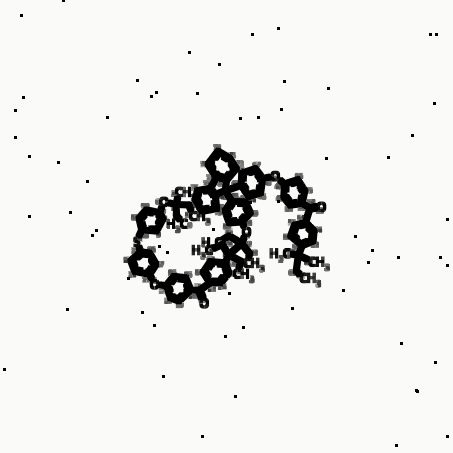 CCC(C)(CC)Oc1ccc(Sc2ccc(Oc3ccc(C(=O)c4ccc(C(CC)(CC)C(CC)(CC)Oc5ccc(C6(c7ccc(Oc8ccc(C(=O)c9ccc(C(C)(C)CC)cc9)cc8)cc7)c7ccccc7-c7ccccc76)cc5)cc4)cc3)cc2)cc1